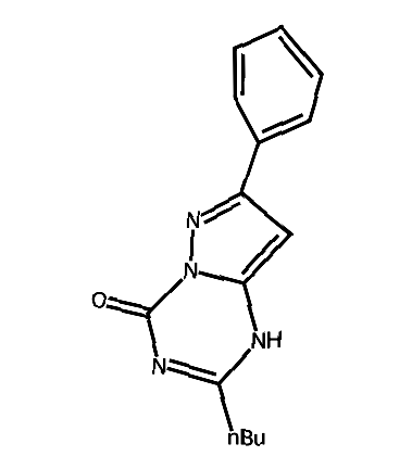 CCCCc1nc(=O)n2nc(-c3ccccc3)cc2[nH]1